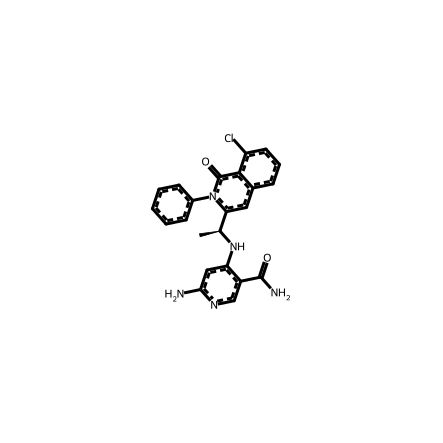 C[C@H](Nc1cc(N)ncc1C(N)=O)c1cc2cccc(Cl)c2c(=O)n1-c1ccccc1